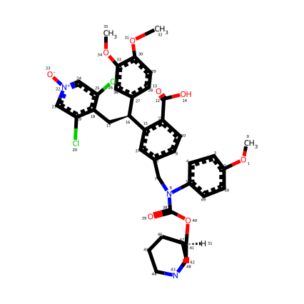 COc1ccc(N(Cc2ccc(C(=O)O)c([C@@H](Cc3c(Cl)c[n+]([O-])cc3Cl)c3ccc(OC)c(OC)c3)c2)C(=O)O[C@H]2CN3CCC2CC3)cc1